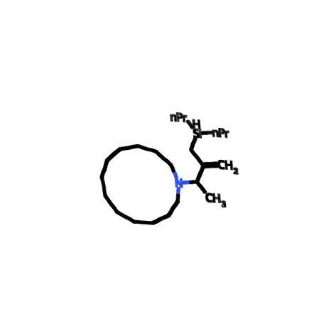 C=C(C[SiH](CCC)CCC)C(C)N1CCCCCCCCCCCC1